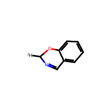 [2H]C1N=Cc2ccccc2O1